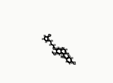 COc1cc2c(Nc3ccc(Cl)cc3F)ncnc2cc1OCCCN1CCCC1=O